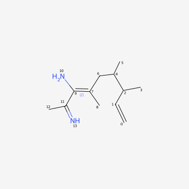 C=CC(C)C(C)C/C(C)=C(\N)C(C)=N